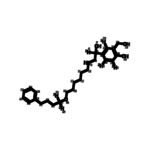 [2H]c1c([2H])c(C([2H])(O)CNCCCCCCOC([2H])([2H])CCCc2ccccc2)c([2H])c(CO)c1O